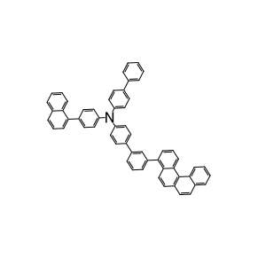 c1ccc(-c2ccc(N(c3ccc(-c4cccc(-c5cccc6c5ccc5ccc7ccccc7c56)c4)cc3)c3ccc(-c4cccc5ccccc45)cc3)cc2)cc1